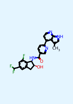 Cc1c[nH]c2nccc(-c3ccc(C(=O)N[C@@H]4c5c(F)cc(C(F)F)cc5C[C@@H]4O)cn3)c12